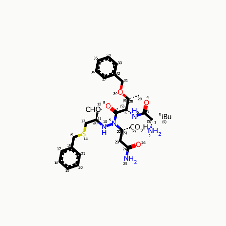 CC[C@H](C)[C@H](N)C(=O)N[C@H](C(=O)N(N[C@H]([C]=O)CSCc1ccccc1)[C@@H](CC(N)=O)C(=O)O)[C@@H](C)OCc1ccccc1